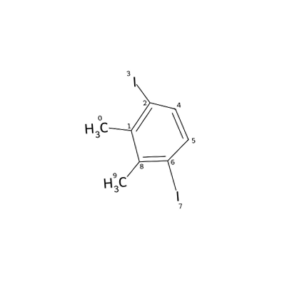 Cc1c(I)ccc(I)c1C